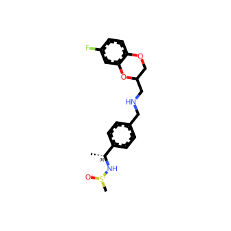 C[C@@H](N[S+](C)[O-])c1ccc(CNCC2COc3ccc(F)cc3O2)cc1